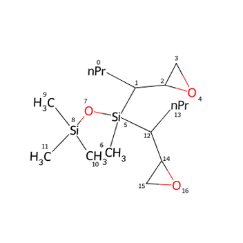 CCCC(C1CO1)[Si](C)(O[Si](C)(C)C)C(CCC)C1CO1